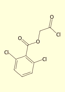 O=C(Cl)COC(=O)c1c(Cl)cccc1Cl